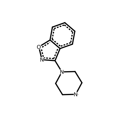 c1ccc2c(N3CC[N]CC3)noc2c1